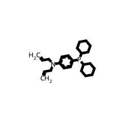 C=CCN(CC=C)c1ccc(P(C2CCCCC2)C2CCCCC2)cc1